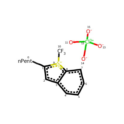 CCCCCc1cc2ccccc2[s+]1C(F)(F)F.[O-][Cl+3]([O-])([O-])[O-]